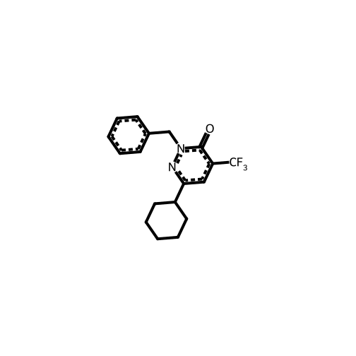 O=c1c(C(F)(F)F)cc(C2CCCCC2)nn1Cc1ccccc1